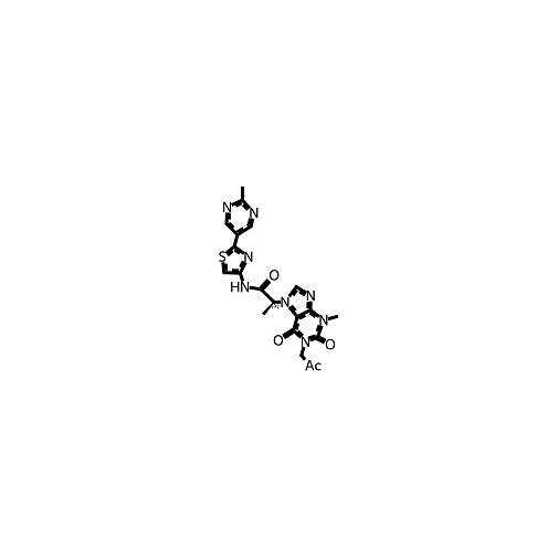 CC(=O)Cn1c(=O)c2c(ncn2[C@@H](C)C(=O)Nc2csc(-c3cnc(C)nc3)n2)n(C)c1=O